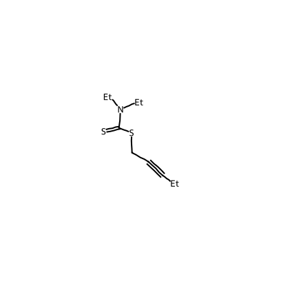 CCC#CCSC(=S)N(CC)CC